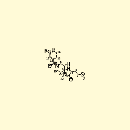 CSCCC1NC2(CCN(C(=O)c3cccc(F)c3)CC2)N(C)C1=O